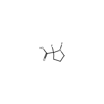 O=C(O)C1(F)CCCN1F